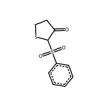 O=C1C[CH]SC1S(=O)(=O)c1ccccc1